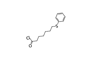 O=C(Cl)CCCCCCSc1ccccc1